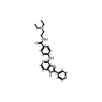 CCN(CC)CCNC(=O)c1ccc(Nc2nccc3[nH]c(-c4ccncc4)nc23)cc1